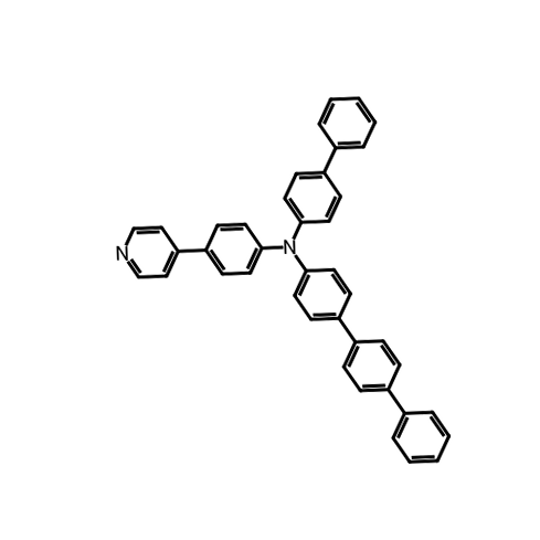 c1ccc(-c2ccc(-c3ccc(N(c4ccc(-c5ccccc5)cc4)c4ccc(-c5ccncc5)cc4)cc3)cc2)cc1